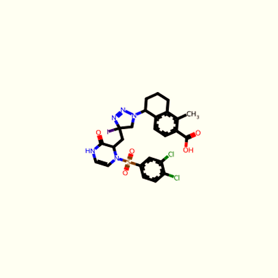 Cc1c(C(=O)O)ccc2c1CCCC2N1CC(I)(CC2C(=O)NC=CN2S(=O)(=O)c2ccc(Cl)c(Cl)c2)N=N1